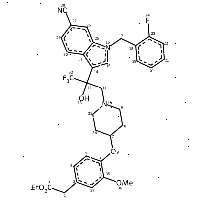 CCOC(=O)Cc1ccc(OC2CCN(CC(O)(c3cn(Cc4ccccc4F)c4cc(C#N)ccc34)C(F)(F)F)CC2)c(OC)c1